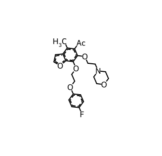 CC(=O)c1c(OCCN2CCOCC2)c(OCCOc2ccc(F)cc2)c2occc2c1C